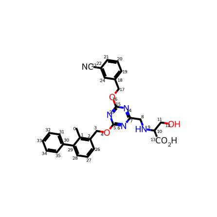 Cc1c(COc2nc(CNC(CO)C(=O)O)nc(OCc3cccc(C#N)c3)n2)cccc1-c1ccccc1